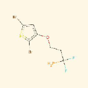 FC(F)(P)CCOc1cc(Br)sc1Br